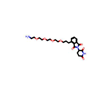 NCCOCCOCCOCCOCCCc1cccc2c1C(=O)N(C1CCC(=O)NC1=O)C2=O